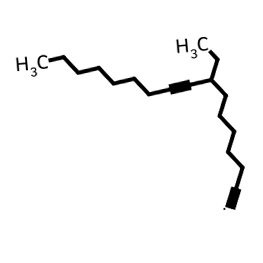 [C]#CCCCCCC(C#CCCCCCCC)CC